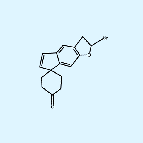 O=C1CCC2(C=Cc3cc4c(cc32)OC(Br)C4)CC1